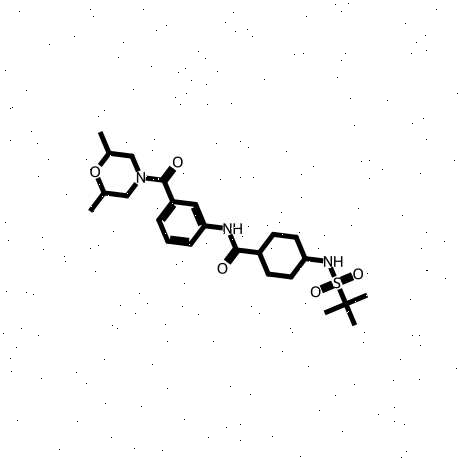 CC1CN(C(=O)c2cccc(NC(=O)C3CCC(NS(=O)(=O)C(C)(C)C)CC3)c2)CC(C)O1